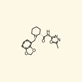 Cc1nnc(NC(=O)[C@H]2CCCCN2Cc2cccc3c2OCO3)o1